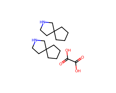 C1CCC2(C1)CCNC2.C1CCC2(C1)CCNC2.O=C(O)C(=O)O